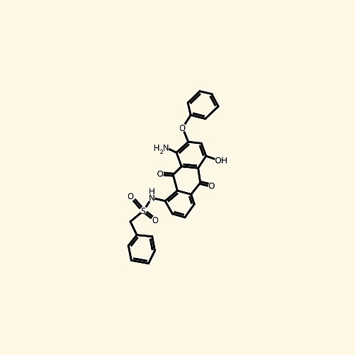 Nc1c(Oc2ccccc2)cc(O)c2c1C(=O)c1c(NS(=O)(=O)Cc3ccccc3)cccc1C2=O